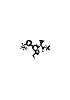 CN(c1cccc(-c2cc(N(C(=O)OC(C)(C)C)C3CC3)n3ncc(C=O)c3n2)c1)S(C)(=O)=O